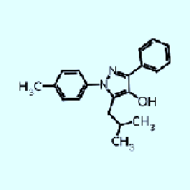 Cc1ccc(-n2nc(-c3ccccc3)c(O)c2CC(C)C)cc1